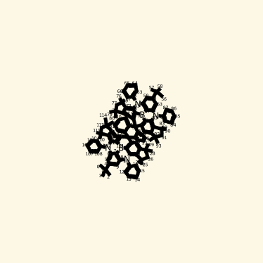 CC(C)(C)c1cc2c3c(c1)N(c1ccccc1)c1c4c(cc5c1C(C)(C)CC5(C)C)C1(c5ccccc5C5(c6ccccc61)c1cc6c(c7c1B1c8c(cc(C(C)(C)C)cc8N(c8ccccc8)c8c1c5cc1c8C(C)(C)CC1(C)C)N7c1ccccc1)C(C)(C)CC6(C)C)c1cc5c(c(c1B34)N2c1ccccc1)C(C)(C)CC5(C)C